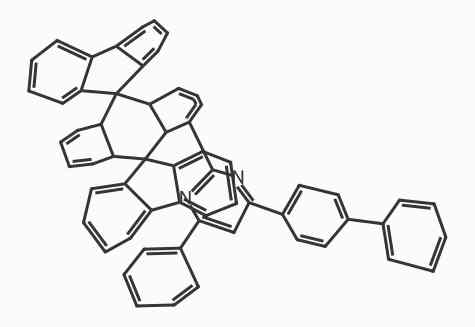 C1=C=C(c2nc(-c3ccccc3)cc(-c3ccc(-c4ccccc4)cc3)n2)C2C(C=1)C1(c3ccccc3-c3ccccc31)C1C=CC=CC1C21c2ccccc2-c2ccccc21